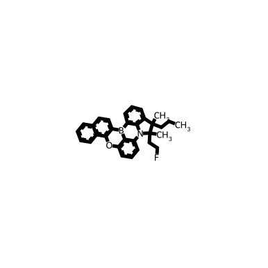 CCCC1(C)c2cccc3c2N(c2cccc4c2B3c2ccc3ccccc3c2O4)C1(C)CCF